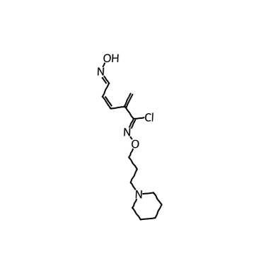 C=C(/C=C\C=N\O)/C(Cl)=N/OCCCN1CCCCC1